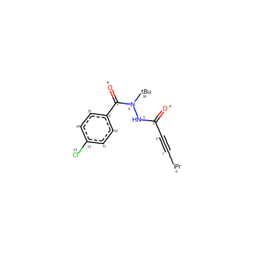 CC(C)C#CC(=O)NN(C(=O)c1ccc(Cl)cc1)C(C)(C)C